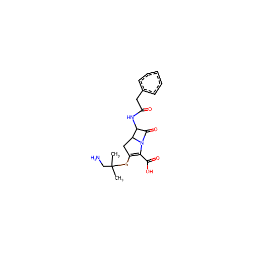 CC(C)(CN)SC1=C(C(=O)O)N2C(=O)C(NC(=O)Cc3ccccc3)C2C1